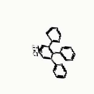 CP.c1ccc(-c2cccc(-c3ccccc3)c2-c2ccccc2)cc1